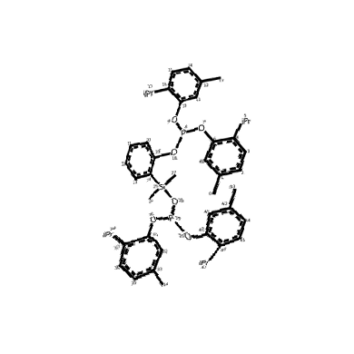 Cc1ccc(C(C)C)c(OP(Oc2cc(C)ccc2C(C)C)Oc2ccccc2[Si](C)(C)OP(Oc2cc(C)ccc2C(C)C)Oc2cc(C)ccc2C(C)C)c1